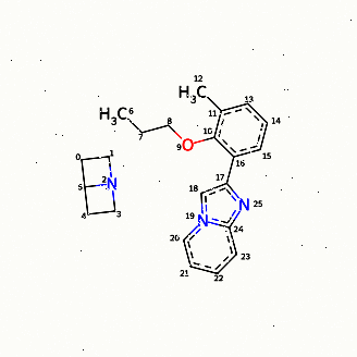 C1CN2CCC12.CCCOc1c(C)cccc1-c1cn2ccccc2n1